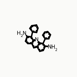 Nc1ccc2cc3ccc(N)c(-c4ccccc4)c3nc2c1-c1ccccc1